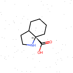 O=C(O)[C@]12CCCCC1CCN2